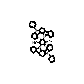 CC(C)c1c(C#N)c(-n2c3ccccc3c3ccc4c(c5ccccc5n4-c4ccccc4)c32)c(C#N)c(C(C)C)c1-n1c2ccccc2c2ccc3c(c4ccccc4n3-c3ccccc3)c21